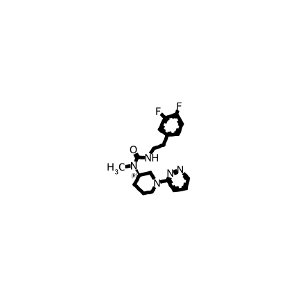 CN(C(=O)NCCc1ccc(F)c(F)c1)[C@@H]1CCCN(c2cccnn2)C1